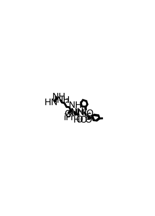 Cc1ccc(S(=O)(=O)C(O)[C@H](CC2CCCCC2)NC(=O)[C@@H](NC(=O)C(N)CCCNC(=N)N)C(C)C)cc1